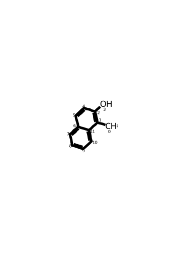 [CH]c1c(O)ccc2ccccc12